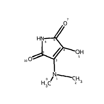 CN(C)C1=C(O)C(=O)NC1=O